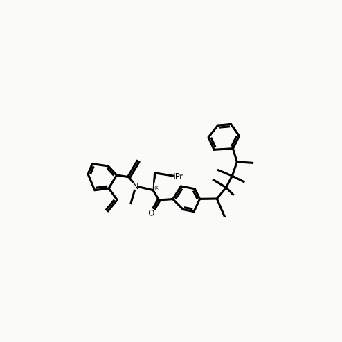 C=Cc1ccccc1C(=C)N(C)[C@@H](CC(C)C)C(=O)c1ccc(C(C)C(C)(C)C(C)(C)C(C)c2ccccc2)cc1